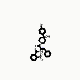 O=C(N/C(=C\c1ccccc1)C(=O)N1CCC(O)(c2ccc(Br)cc2)CC1)c1ccccc1[N+](=O)[O-]